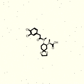 CN(C(=O)O)[C@H]1CC2(CC[C@@H]1N(C)C(=O)Cc1ccc(Cl)c(Cl)c1)OCCO2